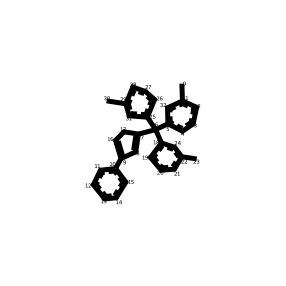 Cc1cccc(C(C2=CC(c3ccccc3)=CC2)(c2cccc(C)c2)c2cccc(C)c2)c1